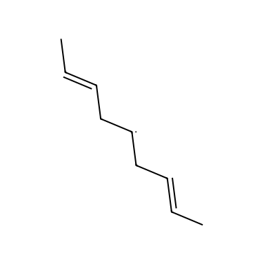 CC=CC[CH]CC=CC